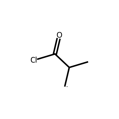 [CH2]C(C)C(=O)Cl